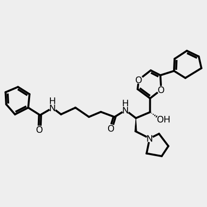 O=C(CCCCNC(=O)c1ccccc1)N[C@H](CN1CCCC1)[C@@H](O)C1=COC=C(C2=CC=CCC2)O1